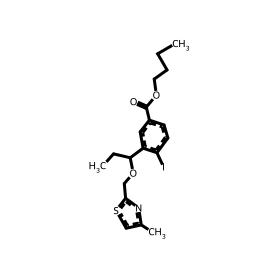 CCCCOC(=O)c1ccc(I)c(C(CC)OCc2nc(C)cs2)c1